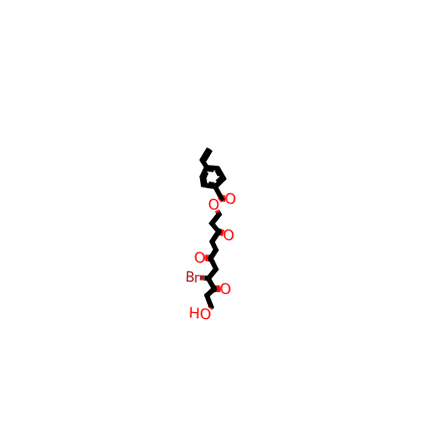 C=Cc1ccc(C(=O)OCCC(=O)CCC(=O)CC(Br)C(=O)CCO)cc1